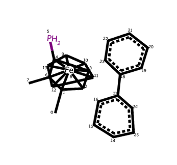 C[C]12[CH]3[CH]4[C]5(P)[C]1(C)[Fe]34251678[CH]2[CH]1[CH]6[CH]7[CH]28.c1ccc(-c2ccccc2)cc1